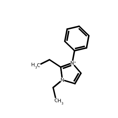 CCc1n(CC)cc[n+]1-c1ccccc1